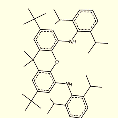 CC(C)c1cccc(C(C)C)c1Nc1cc(C(C)(C)C)cc2c1Oc1c(Nc3c(C(C)C)cccc3C(C)C)cc(C(C)(C)C)cc1C2(C)C